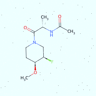 CO[C@H]1CCN(C(=O)[C@H](C)NC(C)=O)C[C@H]1F